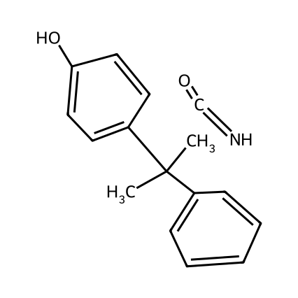 CC(C)(c1ccccc1)c1ccc(O)cc1.N=C=O